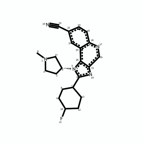 CN1CC[C@@H](n2c(C3CCC(F)CC3)nc3cnc4ccc(C#N)cc4c32)C1